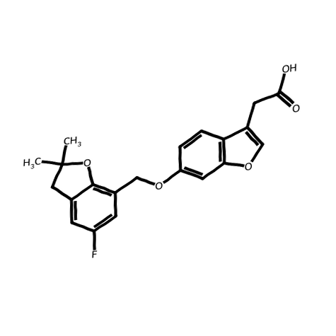 CC1(C)Cc2cc(F)cc(COc3ccc4c(CC(=O)O)coc4c3)c2O1